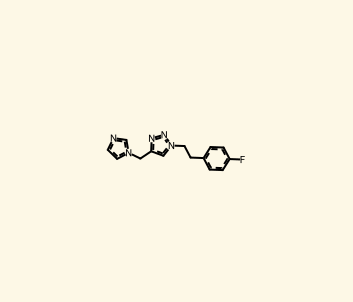 Fc1ccc(CCn2cc(Cn3ccnc3)nn2)cc1